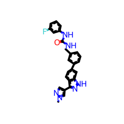 Cn1cc(-c2n[nH]c3cc(-c4cccc(CNC(=O)Nc5cccc(F)c5)c4)ccc23)cn1